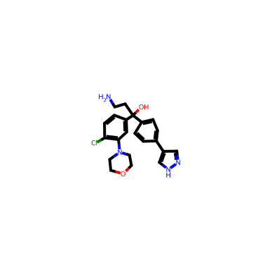 NCCC(O)(c1ccc(-c2cn[nH]c2)cc1)c1ccc(Cl)c(N2CCOCC2)c1